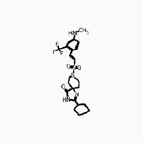 CNc1ccc(/C=C/S(=O)(=O)N2CCC3(CC2)N=C(C2CCCCC2)NC3=O)c(C(F)(F)F)c1